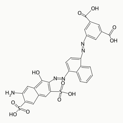 Nc1cc2c(O)c(N=Nc3ccc(N=Nc4cc(C(=O)O)cc(C(=O)O)c4)c4ccccc34)c(S(=O)(=O)O)cc2cc1S(=O)(=O)O